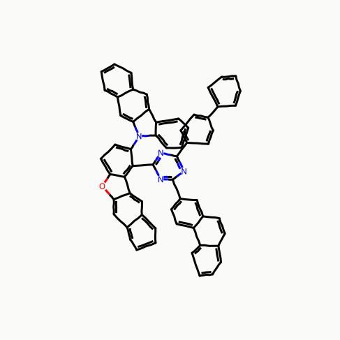 c1ccc(-c2ccc(-c3nc(-c4ccc5c(ccc6ccccc65)c4)nc(-c4c(-n5c6ccccc6c6cc7ccccc7cc65)ccc5oc6cc7ccccc7cc6c45)n3)cc2)cc1